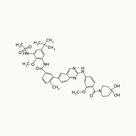 COc1cc(Nc2ncc3cc(-c4cc(C(=O)Nc5cc(C(C)(C)C)cc(NS(C)(=O)=O)c5OC)ccc4C)ccc3n2)ccc1C(=O)N1CCS(O)(O)CC1